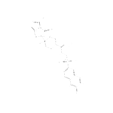 Cc1ncc2n1C(=O)N(C1(C)CCN(C(=O)CCS(=O)(=O)c3ccc4cc(Cl)ccc4c3)CC1)C2.Cl